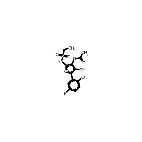 CCS(=O)(=O)Nc1oc(-c2cc(F)ccc2Cl)c(O)c1OC(C)=O